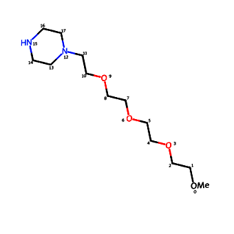 COCCOCCOCCOCCN1CCNCC1